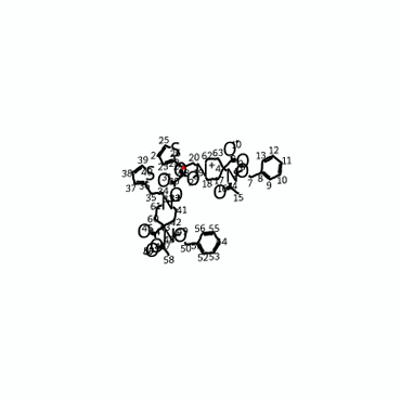 COC(=O)C1(N(OCc2ccccc2)C(C)=O)CC[N+](CCc2cccs2)(OC(=O)C(=O)O[N+]2(CCc3cccs3)CCC(C(=O)OC)(N(OCc3ccccc3)C(C)=O)CC2)CC1